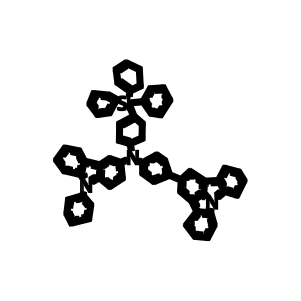 C1=CCCC([Si](C2=CC=C(N(c3ccc(-c4cc5c6ccccc6n6c7ccccc7c(c4)c56)cc3)c3ccc4c(c3)c3ccccc3n4-c3ccccc3)CC2)(c2ccccc2)c2ccccc2)=C1